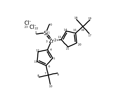 C[Si](C)=[Zr+2]([C]1=CC(C(C)(C)C)=CC1)[C]1=CC(C(C)(C)C)=CC1.[Cl-].[Cl-]